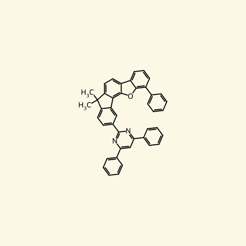 CC1(C)c2ccc(-c3nc(-c4ccccc4)cc(-c4ccccc4)n3)cc2-c2c1ccc1c2oc2c(-c3ccccc3)cccc21